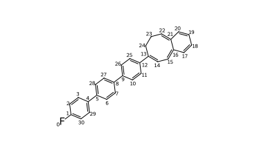 Fc1ccc(-c2ccc(-c3ccc(/C4=C/C=c5/cccc/c5=C/CC4)cc3)cc2)cc1